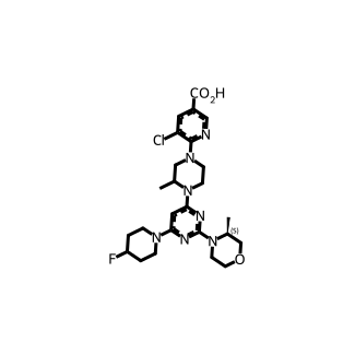 CC1CN(c2ncc(C(=O)O)cc2Cl)CCN1c1cc(N2CCC(F)CC2)nc(N2CCOC[C@@H]2C)n1